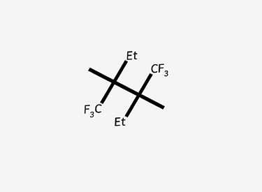 CCC(C)(C(F)(F)F)C(C)(CC)C(F)(F)F